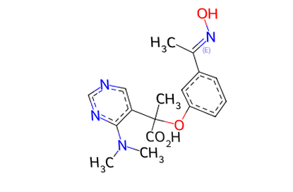 C/C(=N\O)c1cccc(OC(C)(C(=O)O)c2cncnc2N(C)C)c1